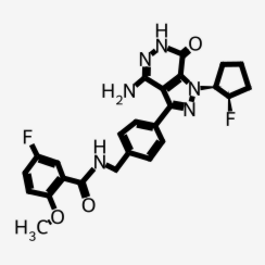 COc1ccc(F)cc1C(=O)NCc1ccc(-c2nn([C@H]3CCC[C@H]3F)c3c(=O)[nH]nc(N)c23)cc1